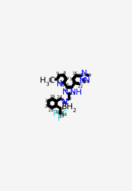 BN(Cc1nc(-c2cccc(C)n2)c(-c2ccc3ncnn3c2)[nH]1)Cc1ccccc1CC(F)(F)F